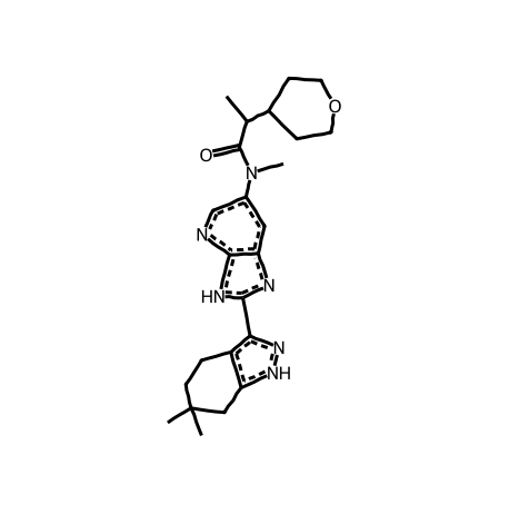 CC(C(=O)N(C)c1cnc2[nH]c(-c3n[nH]c4c3CCC(C)(C)C4)nc2c1)C1CCOCC1